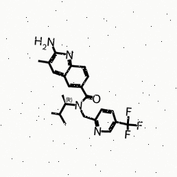 Cc1cc2cc(C(=O)N(Cc3ccc(C(F)(F)F)cn3)[C@H](C)C(C)C)ccc2nc1N